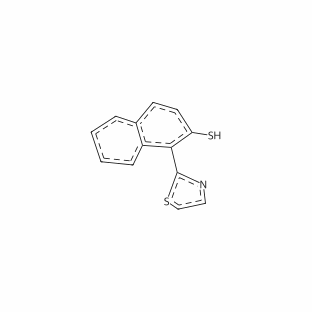 Sc1ccc2ccccc2c1-c1nccs1